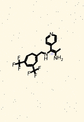 C/C(N)=C(/NCC1=CC(C(F)(F)F)=CC(C(F)(F)F)=CC1)c1ccncc1